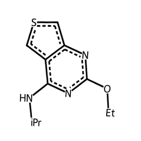 CCOc1nc(NC(C)C)c2cscc2n1